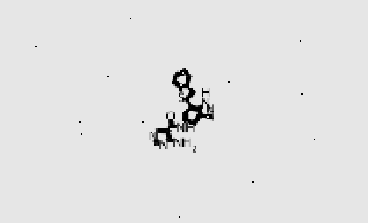 Nc1ncncc1C(=O)Nc1cc(-c2cc3ccccc3s2)c2[nH]ncc2c1